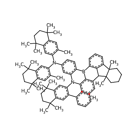 Cc1cc2c3c(c1)N(c1cc4c(cc1-c1ccccc1)C(C)(C)CCC4(C)C)c1cc(N(c4cc5c(cc4C)C(C)(C)CCC5(C)C)c4cc5c(cc4C)C(C)(C)CCC5(C)C)ccc1B3c1cccc3c1C2C1(C)CCCCC31C